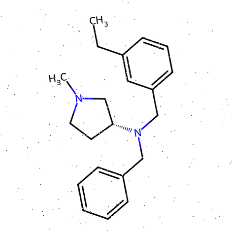 CCc1cccc(CN(Cc2ccccc2)[C@@H]2CCN(C)C2)c1